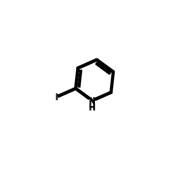 IC1=CC=CCN1